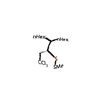 CCCCCCC(CCCCCC)[C@@H](CC(Cl)(Cl)Cl)SSC